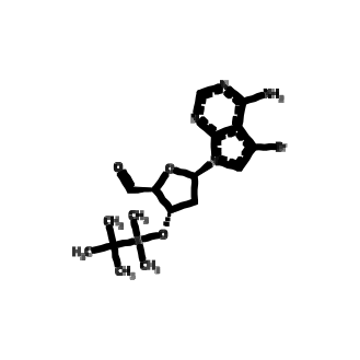 CC(C)(C)[Si](C)(C)O[C@H]1C[C@H](n2cc(Br)c3c(N)ncnc32)O[C@@H]1C=O